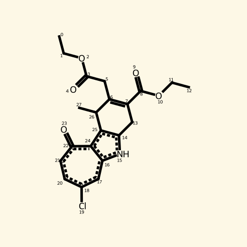 CCOC(=O)CC1=C(C(=O)OCC)Cc2[nH]c3cc(Cl)ccc(=O)c3c2C1C